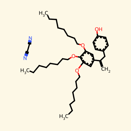 C=C(Cc1ccc(O)cc1)c1cc(OCCCCCCCC)c(OCCCCCCCC)c(OCCCCCCCC)c1.N#CC#N